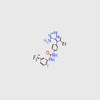 [CH2]Cc1cn2ncnc(N)c2c1-c1ccc(NC(=O)Nc2cc(C(F)(F)F)ccc2F)cc1